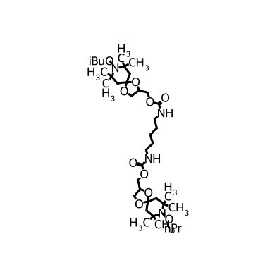 CCCON1C(C)(C)CC2(CC1(C)C)OCC(COC(=O)NCCCCCNC(=O)OCC1COC3(CC(C)(C)N(OCC(C)C)C(C)(C)C3)O1)O2